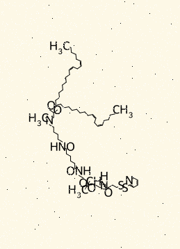 CCCCC/C=C\C/C=C\CCCCCCCCC1(CCCCCCCC/C=C\C/C=C\CCCCC)OCC(CN(C)CCCCCCNC(=O)CCCCC(=O)NCCOC(C)(C)OCCNC(=O)CCSSc2ccccn2)O1